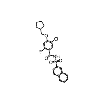 O=C(NS(=O)(=O)c1ccc2ccccc2c1)c1cc(Cl)c(OCC2CCCC2)cc1F